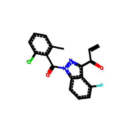 C=CC(=O)c1nn(C(=O)c2c(C)cccc2Cl)c2cccc(F)c12